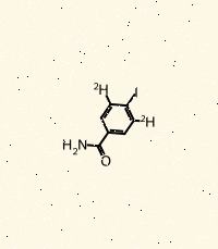 [2H]c1cc(C(N)=O)cc([2H])c1I